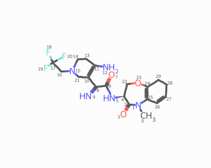 CN1C(=O)[C@@H](NC(=O)C(=N)C2=C(N)CCN(CC(F)(F)F)C2)COC2=C1C=CCC2